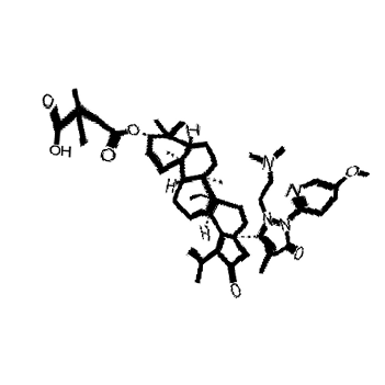 COc1ccc(-n2c(=O)c(C)c([C@@]34CC[C@]5(C)[C@H](CC[C@@H]6[C@@]7(C)CC[C@H](OC(=O)CC(C)(C)C(=O)O)C(C)(C)[C@@H]7CC[C@]65C)C3=C(C(C)C)C(=O)C4)n2CCN(C)C)nc1